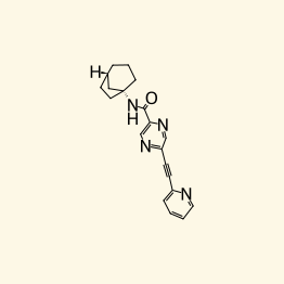 O=C(N[C@]12CCC[C@@H](CC1)C2)c1cnc(C#Cc2ccccn2)cn1